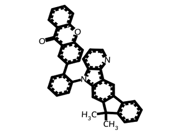 CC1(C)c2ccccc2-c2cc3c4ncccc4n(-c4ccccc4-c4ccc5oc6ccccc6c(=O)c5c4)c3cc21